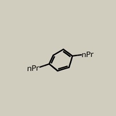 CCCc1ccc(CCC)cc1